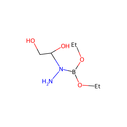 CCOB(OCC)N(N)C(O)CO